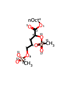 CCCCCCCCOC(=O)C(CCCOS(C)(=O)=O)OS(C)(=O)=O